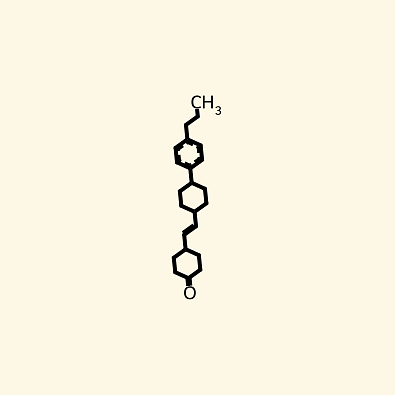 CCCc1ccc(C2CCC(C=CC3CCC(=O)CC3)CC2)cc1